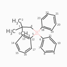 CC(C)(C)C[B-](c1ccccc1)(c1ccccc1)c1ccccc1